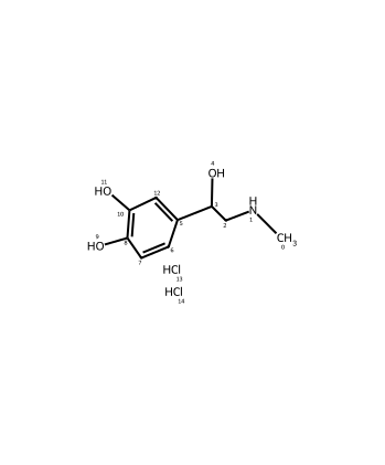 CNCC(O)c1ccc(O)c(O)c1.Cl.Cl